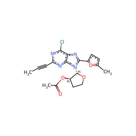 CC#Cc1nc(Cl)c2nc(-c3ccc(C)o3)n([C@@H]3OCC[C@H]3OC(C)=O)c2n1